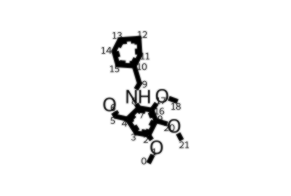 COc1cc(C=O)c(NCc2ccccc2)c(OC)c1OC